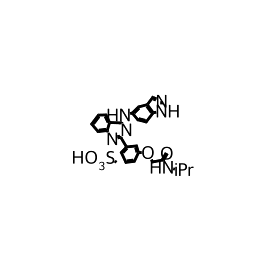 CC(C)NC(=O)COc1cccc(-c2nc(Nc3ccc4[nH]ncc4c3)c3ccccc3n2)c1.CS(=O)(=O)O